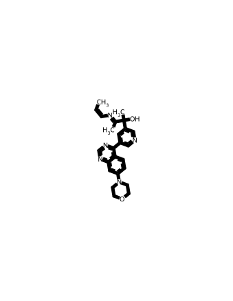 C/C=C\N=C(/C)C(C)(O)c1cncc(-c2ncnc3cc(N4CCOCC4)ccc23)c1